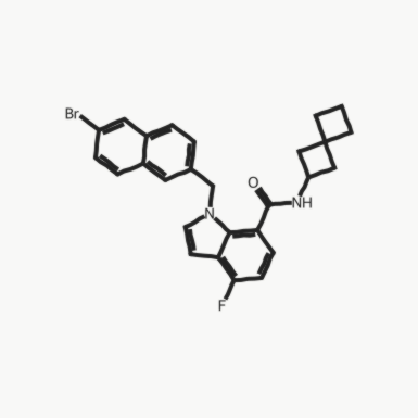 O=C(NC1CC2(CCC2)C1)c1ccc(F)c2ccn(Cc3ccc4cc(Br)ccc4c3)c12